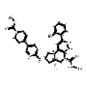 CC(C)(C)OC(=O)N1CC=C(c2cnc(O[C@H]3C[C@@H]4CN(C(=O)OC(C)(C)C)c5nnc(-c6ccccc6O)cc5N4C3)nc2)CC1